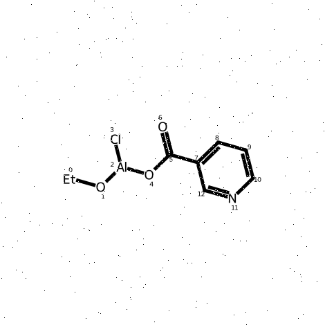 CC[O][Al]([Cl])[O]C(=O)c1cccnc1